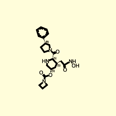 O=C(C[C@@H]1C[C@H](OC(=O)N2CCC2)CN[C@@H]1C(=O)N1CC[C@H](c2ccccc2)C1)NO